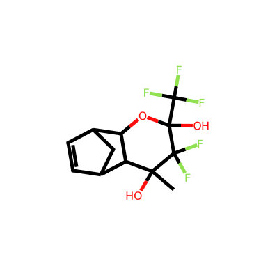 CC1(O)C2C3C=CC(C3)C2OC(O)(C(F)(F)F)C1(F)F